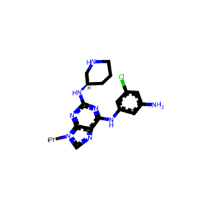 CC(C)n1cnc2c(Nc3cc(N)cc(Cl)c3)nc(N[C@@H]3CCCNC3)nc21